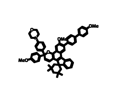 COc1ccc(-c2ccc(-c3cc4c5c(c6c(c4cc3OC)OC(c3ccc(OC)cc3)(c3ccc(N4CCOCC4)cc3)C=C6)C3(CC(C)(C)CC(C)(C)C3)c3ccccc3-5)cc2)cc1